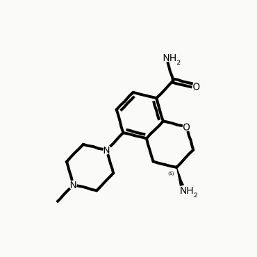 CN1CCN(c2ccc(C(N)=O)c3c2C[C@H](N)CO3)CC1